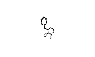 O=C1C(=Cc2ccccc2)CCCN1F